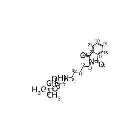 CC(C)(C)OC(=O)CNCCCCCN1C(=O)c2ccccc2C1=O